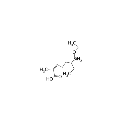 CCO[SiH2]C(CC)CCC=C(C)C(=O)O